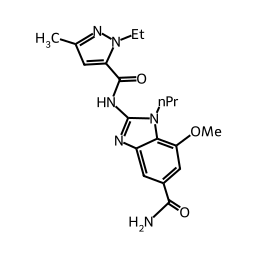 CCCn1c(NC(=O)c2cc(C)nn2CC)nc2cc(C(N)=O)cc(OC)c21